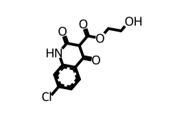 O=C1Nc2cc(Cl)ccc2C(=O)C1C(=O)OCCO